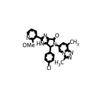 COc1ncccc1-c1nc2c([nH]1)C(c1ccc(Cl)cc1)N(c1cc(C)c3nnc(C)n3c1)C2=O